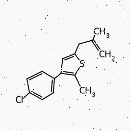 C=C(C)Cc1cc(-c2ccc(Cl)cc2)c(C)s1